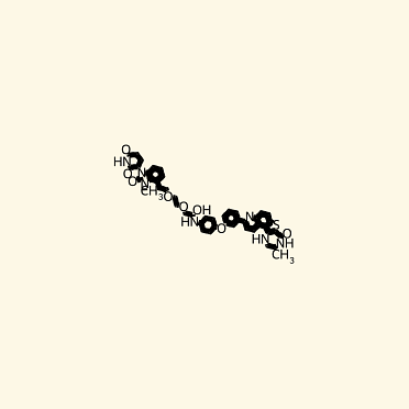 C[C@@H]1CNc2c(sc3ccc4nc(-c5cccc(OC6CCC(NC(O)COCCOCCc7cccc8c7n(C)c(=O)n8C7CCC(=O)NC7=O)CC6)c5)ccc4c23)C(=O)N1